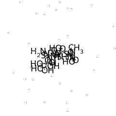 CC1=NC2=CN(C(=O)O)NN2C(SCC2=C(C(=O)O)N3C(=O)[C@@H](NC(=O)C(=NO[C@H](C(=O)O)c4cc(O)c(O)c(O)c4)c4csc(N)n4)[C@H]3SC2)=C1